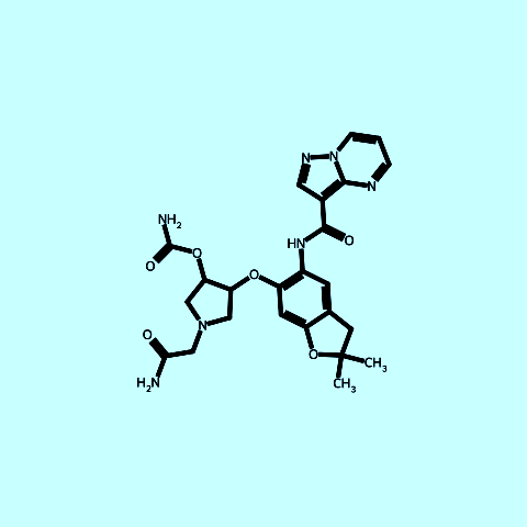 CC1(C)Cc2cc(NC(=O)c3cnn4cccnc34)c(OC3CN(CC(N)=O)CC3OC(N)=O)cc2O1